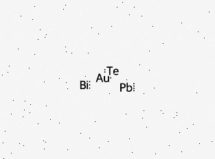 [Au].[Bi].[Pb].[Te]